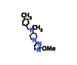 COc1nccc(N2CCC(N(C)Cc3ccc(C)cc3)CC2)n1